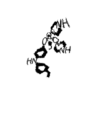 CCc1ccc(Nc2ccc(OP(=S)(ON3CCNCC3)ON3CCNCC3)cc2)cc1